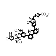 COc1nc(-c2cccc(-c3ccnc(-c4cc5c(=O)n(C)c(CN6CC(C(=O)O)C6)nn5c4)c3Cl)c2Cl)ccc1CN(C[C@@H]1CCC(=O)N1)C(=O)OC(C)(C)C